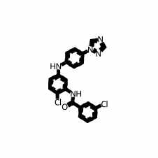 O=C(Nc1cc(Nc2ccc(-n3cncn3)cc2)ccc1Cl)c1cccc(Cl)c1